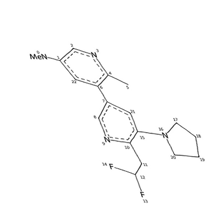 CNc1cnc(C)c(-c2cnc(CC(F)F)c(N3CCCC3)c2)c1